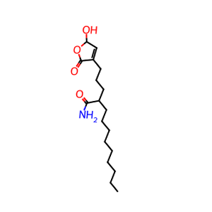 CCCCCCCCCC(CCCC1=CC(O)OC1=O)C(N)=O